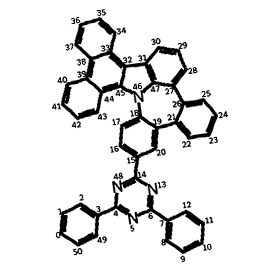 c1ccc(-c2nc(-c3ccccc3)nc(-c3ccc4c(c3)-c3ccccc3-c3cccc5c6c7ccccc7c7ccccc7c6n-4c35)n2)cc1